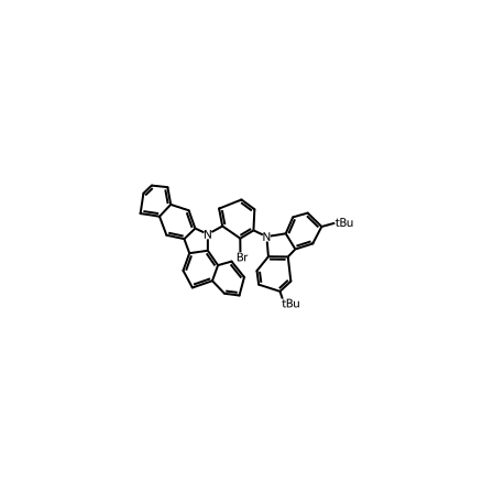 CC(C)(C)c1ccc2c(c1)c1cc(C(C)(C)C)ccc1n2-c1cccc(-n2c3cc4ccccc4cc3c3ccc4ccccc4c32)c1Br